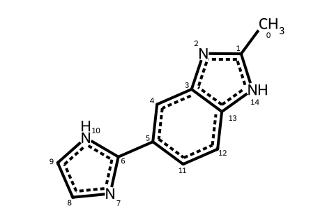 Cc1nc2cc(-c3ncc[nH]3)ccc2[nH]1